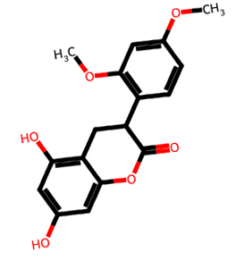 COc1ccc(C2Cc3c(O)cc(O)cc3OC2=O)c(OC)c1